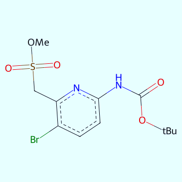 COS(=O)(=O)Cc1nc(NC(=O)OC(C)(C)C)ccc1Br